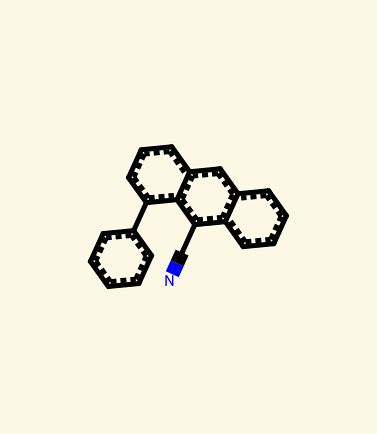 N#Cc1c2ccccc2cc2cccc(-c3ccccc3)c12